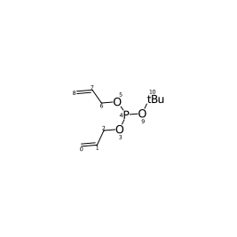 C=CCOP(OCC=C)OC(C)(C)C